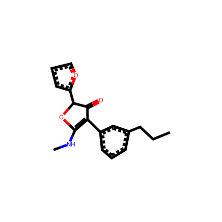 CCCc1cccc(C2=C(NC)OC(c3ccco3)C2=O)c1